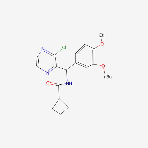 CCCCOc1cc(C(NC(=O)C2CCC2)c2nccnc2Cl)ccc1OCC